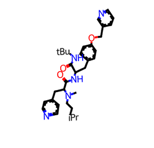 CC(C)CCN(C)C(Cc1ccncc1)C(=O)NC(Cc1ccc(OCc2cccnc2)cc1)C(=O)NC(C)(C)C